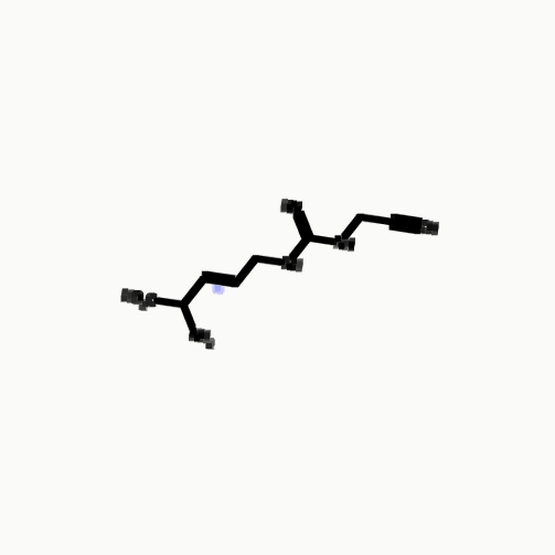 C#CCNC(=N)NC/C=C/C(N)C(=O)O